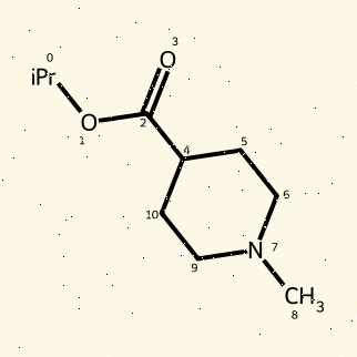 CC(C)OC(=O)C1CCN(C)CC1